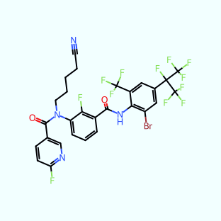 N#CCCCCN(C(=O)c1ccc(F)nc1)c1cccc(C(=O)Nc2c(Br)cc(C(F)(C(F)(F)F)C(F)(F)F)cc2C(F)(F)F)c1F